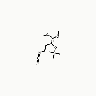 CO[SiH](OC)C(CCN=C=O)O[Si](C)(C)C